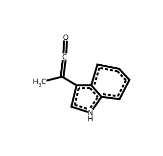 CC(=C=O)c1c[nH]c2ccccc12